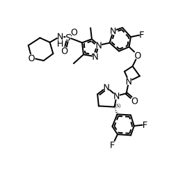 Cc1nn(-c2cc(OC3CN(C(=O)N4N=CC[C@H]4c4cc(F)cc(F)c4)C3)c(F)cn2)c(C)c1S(=O)(=O)NC1CCOCC1